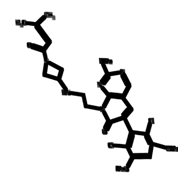 CNc1ncc2cc(-c3c(Cl)c(OC)cc(OC)c3Cl)c(=O)n(CCNC3CN(C(=O)C=C(C)C)C3)c2n1